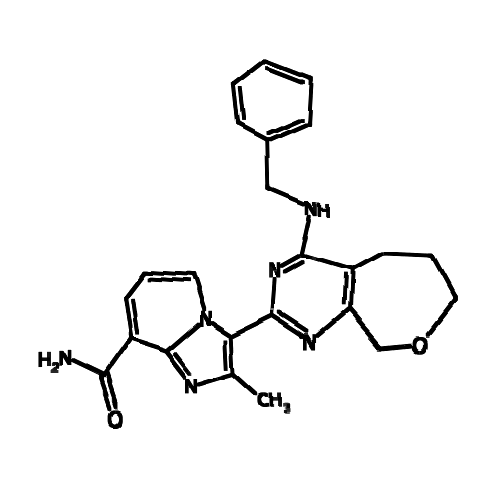 Cc1nc2c(C(N)=O)cccn2c1-c1nc2c(c(NCc3ccccc3)n1)CCCOC2